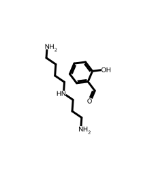 NCCCCNCCCN.O=Cc1ccccc1O